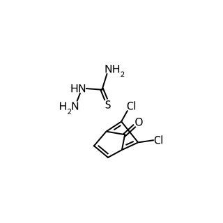 NNC(N)=S.O=C1C2=C(Cl)C(Cl)=C1C=C2